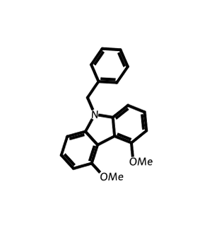 COc1cccc2c1c1c(OC)cccc1n2Cc1ccccc1